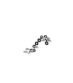 CCC[C@@H](CN1CCC[C@H]1c1ncc(-c2ccc(-c3ccc(-c4cnc([C@@H]5CCCN5C(=O)[C@@H](c5ccccc5)N(CC)CC)[nH]4)cc3)cc2)[nH]1)NC(=O)O